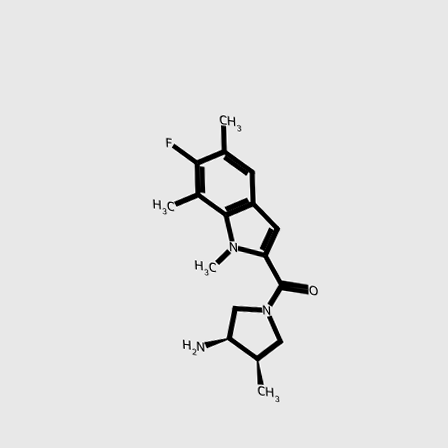 Cc1cc2cc(C(=O)N3C[C@@H](C)[C@@H](N)C3)n(C)c2c(C)c1F